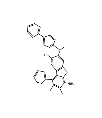 Bc1c(C)c(C)c(C2=CC=CCC2)c2c1sc1cc(C(C)c3ccc(-c4ccccc4)cc3)c(S)cc12